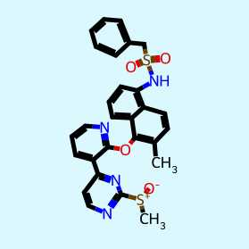 Cc1ccc2c(NS(=O)(=O)Cc3ccccc3)cccc2c1Oc1ncccc1-c1ccnc([S+](C)[O-])n1